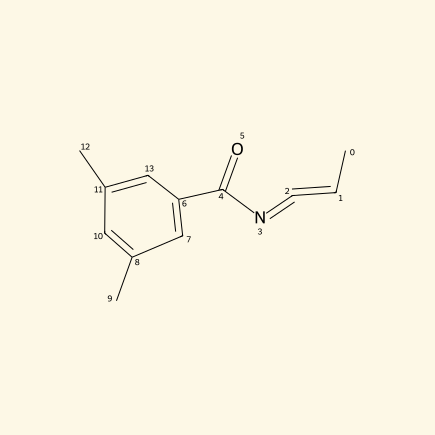 CC=C=NC(=O)c1cc(C)cc(C)c1